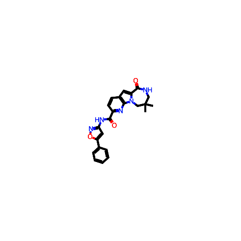 CC1(C)CNC(=O)c2cc3ccc(C(=O)Nc4cc(-c5ccccc5)on4)nc3n2C1